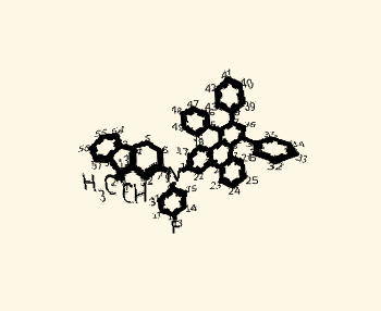 CC1(C)C2=C(CCC(N(c3ccc(F)cc3)c3ccc4c(c3)c3ccccc3c3c(-c5ccccc5)cc(-c5ccccc5)c(-c5ccccc5)c43)=C2)c2ccccc21